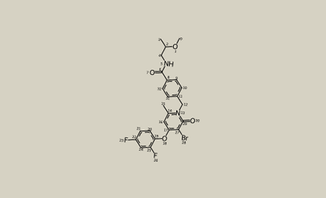 COC(C)CNC(=O)c1ccc(Cn2c(C)cc(Oc3ccc(F)cc3F)c(Br)c2=O)cc1